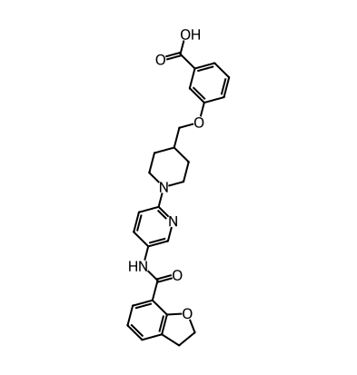 O=C(O)c1cccc(OCC2CCN(c3ccc(NC(=O)c4cccc5c4OCC5)cn3)CC2)c1